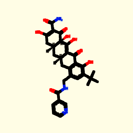 CC(C)(C)c1cc(CNC(=O)c2cccnc2)c2c(c1O)C(=O)C1=C(O)[C@]3(O)C(=O)C(C(N)=O)=C(O)C[C@@H]3C[C@@H]1C2